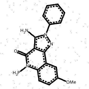 COc1ccc2c(c1)c1nn(-c3ccccc3)c(N)c1c(=O)n2P